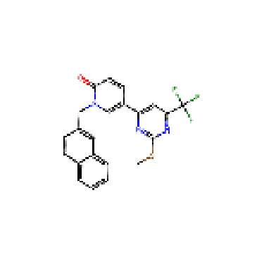 CSc1nc(-c2ccc(=O)n(Cc3ccc4ccccc4c3)c2)cc(C(F)(F)F)n1